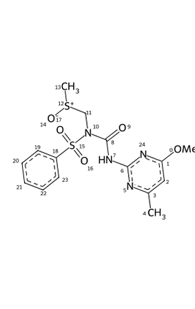 COc1cc(C)nc(NC(=O)N(C[S+](C)[O-])S(=O)(=O)c2ccccc2)n1